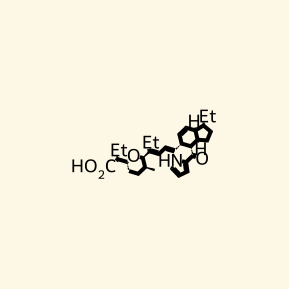 CC/C(=C\C=C\[C@@H]1C=C[C@@H]2[C@@H](CC)CC[C@H]2[C@@H]1C(=O)c1ccc[nH]1)[C@@H]1O[C@@H]([C@@H](CC)C(=O)O)CC[C@@H]1C